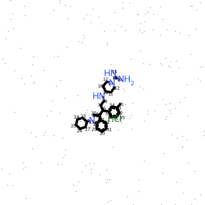 Cc1cccc(C(CCNC2CCN(C(=N)N)CC2)c2cn(C3CCCCC3)c3ccccc23)c1.Cl